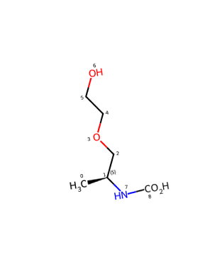 C[C@@H](COCCO)NC(=O)O